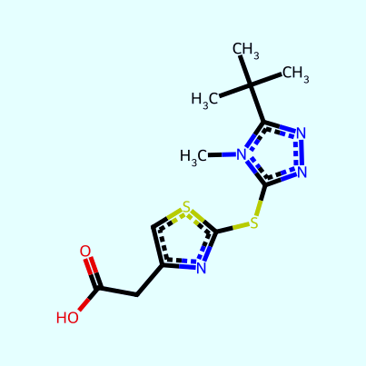 Cn1c(Sc2nc(CC(=O)O)cs2)nnc1C(C)(C)C